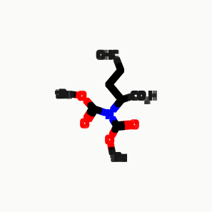 CC(C)(C)OC(=O)N(C(=O)OC(C)(C)C)C(CCC=O)C(=O)O